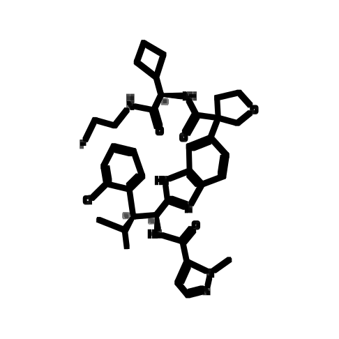 CC(C)[C@@H](c1ccccc1Cl)[C@H](NC(=O)c1ccnn1C)c1nc2ccc(C3(C(=O)N[C@@H](C(=O)NCCF)C4CCC4)CCOC3)cc2[nH]1